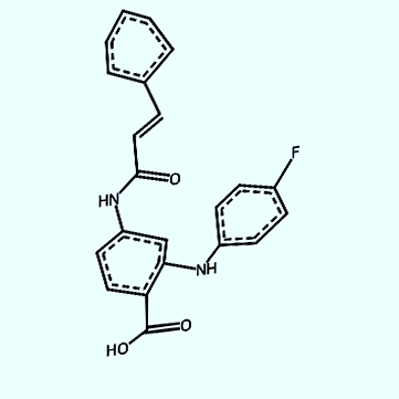 O=C(C=Cc1ccccc1)Nc1ccc(C(=O)O)c(Nc2ccc(F)cc2)c1